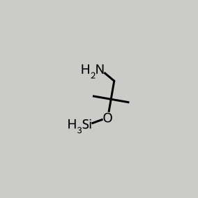 CC(C)(CN)O[SiH3]